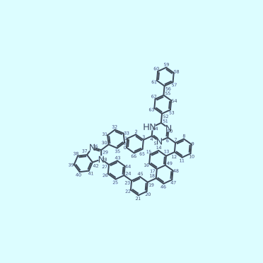 c1ccc(C2=NC(c3ccccc3-c3cccc4c(-c5cccc(-c6ccc(-n7c(-c8ccccc8)nc8ccccc87)cc6)c5)cccc34)=NC(c3ccc(-c4ccccc4)cc3)N2)cc1